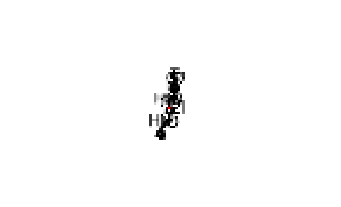 CC(C)OC(=O)c1ccc(C(=O)NS(=O)(=O)c2ccc(C(=O)NCCc3ccccc3)cc2Cl)cn1